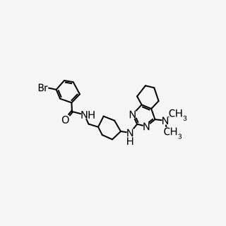 CN(C)c1nc(NC2CCC(CNC(=O)c3cccc(Br)c3)CC2)nc2c1CCCC2